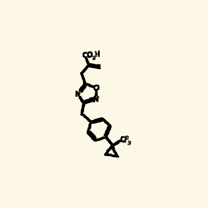 C=C(Cc1nc(Cc2ccc(C3(C(F)(F)F)CC3)cc2)no1)C(=O)O